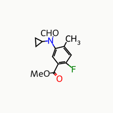 COC(=O)c1cc(N(C=O)C2CC2)c(C)cc1F